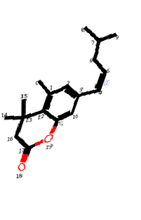 Cc1cc(/C=C\CC(C)C)cc2c1C(C)(C)CC(=O)O2